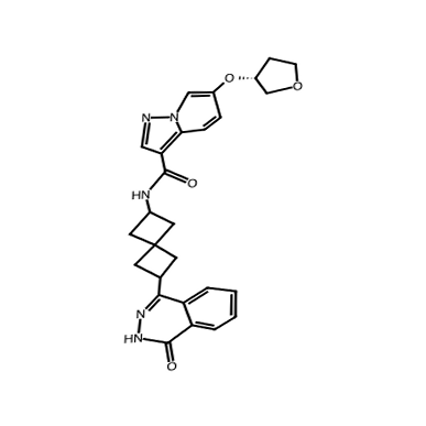 O=C(NC1CC2(C1)CC(c1n[nH]c(=O)c3ccccc13)C2)c1cnn2cc(O[C@@H]3CCOC3)ccc12